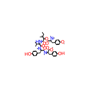 CC[C@H](C)[C@@H](OC(=O)[C@H](Cc1ccc(OC)cc1)N(C)C)C(=O)N[C@@H](C(=O)N(C)[C@H](Cc1ccc(O)cc1)C(=O)N(C)[C@H](Cc1ccc(O)cc1)C(=O)OC)C(C)C